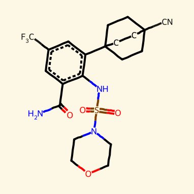 N#CC12CCC(c3cc(C(F)(F)F)cc(C(N)=O)c3NS(=O)(=O)N3CCOCC3)(CC1)CC2